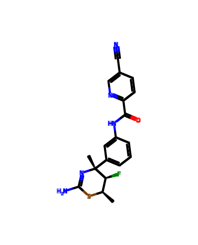 C[C@H]1SC(N)=N[C@](C)(c2cccc(NC(=O)c3ccc(C#N)cn3)c2)[C@H]1F